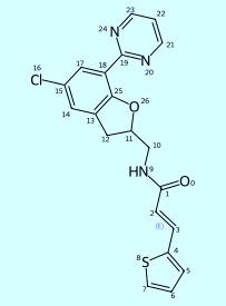 O=C(/C=C/c1cccs1)NCC1Cc2cc(Cl)cc(-c3ncccn3)c2O1